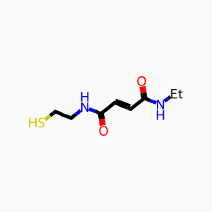 CCNC(=O)/C=C/C(=O)NCCS